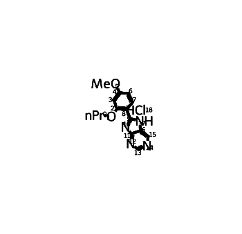 CCCOc1cc(OC)ccc1-c1nc2ncncc2[nH]1.Cl